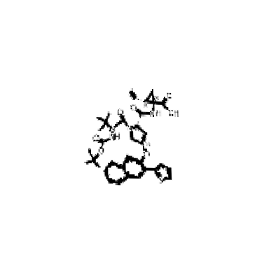 C=C[C@@H]1C[C@]1(NC(=O)[C@@H]1C[C@@H](Oc2cc3ccccc3cc2-c2cccs2)CN1C(=O)N(NC(=O)OC(C)(C)C)C(C)(C)C)C(=O)O